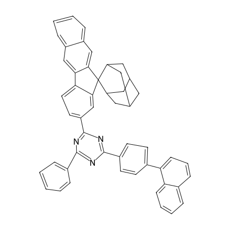 c1ccc(-c2nc(-c3ccc(-c4cccc5ccccc45)cc3)nc(-c3ccc4c(c3)C3(c5cc6ccccc6cc5-4)C4CC5CC(C4)CC3C5)n2)cc1